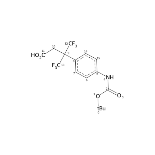 CC(C)(C)OC(=O)Nc1ccc(C(CC(=O)O)(C(F)(F)F)C(F)(F)F)cc1